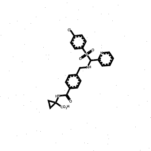 O=C(NC1(C(=O)O)CC1)c1ccc(CNC(c2ccccn2)S(=O)(=O)c2ccc(Cl)cc2)cc1